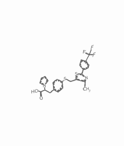 Cc1nc(-c2ccc(C(F)(F)F)cc2)sc1CSc1ccc(CC(C(=O)O)n2cccc2)cc1